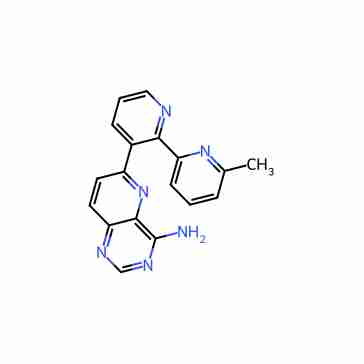 Cc1cccc(-c2ncccc2-c2ccc3ncnc(N)c3n2)n1